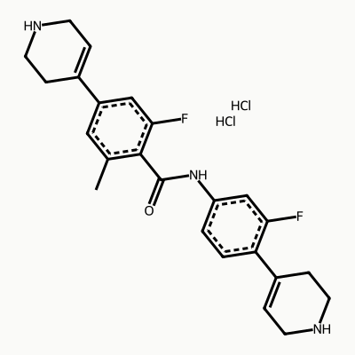 Cc1cc(C2=CCNCC2)cc(F)c1C(=O)Nc1ccc(C2=CCNCC2)c(F)c1.Cl.Cl